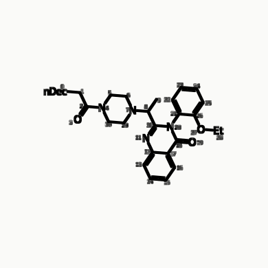 CCCCCCCCCCCC(=O)N1CCN(C(C)c2nc3ccccc3c(=O)n2-c2ccccc2OCC)CC1